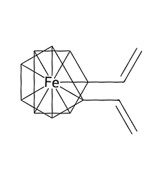 C=C[C]12[CH]3[CH]4[CH]5[CH]1[Fe]45321678[CH]2[CH]1[CH]6[C]7(C=C)[CH]28